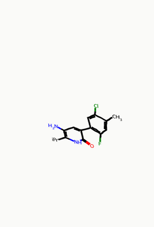 Cc1cc(F)c(-c2cc(N)c(C(C)C)[nH]c2=O)cc1Cl